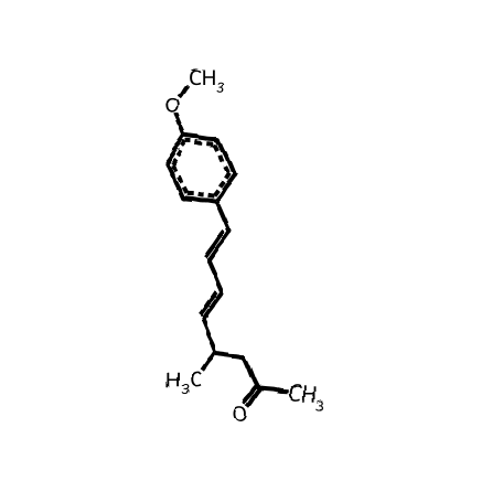 COc1ccc(/C=C/C=C/C(C)CC(C)=O)cc1